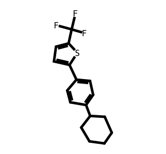 FC(F)(F)c1ccc(-c2ccc(C3CCCCC3)cc2)s1